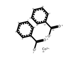 O=C([O-])c1ccccc1.O=C([O-])c1ccccc1.[Co+2]